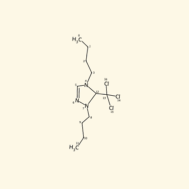 CCCCN1C=NN(CCCC)C1C(Cl)(Cl)Cl